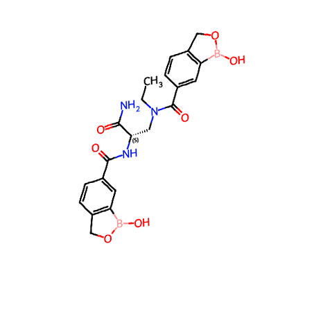 CCN(C[C@H](NC(=O)c1ccc2c(c1)B(O)OC2)C(N)=O)C(=O)c1ccc2c(c1)B(O)OC2